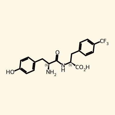 N[C@@H](Cc1ccc(O)cc1)C(=O)N[C@@H](Cc1ccc(C(F)(F)F)cc1)C(=O)O